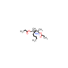 C=CC(=O)OC[SiH](C)CC(N)(/C=C\C=C/C)[SiH](C)COC(=O)C=C